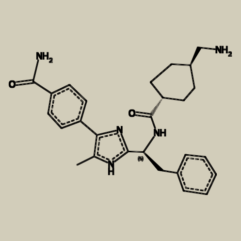 Cc1[nH]c([C@H](Cc2ccccc2)NC(=O)[C@H]2CC[C@H](CN)CC2)nc1-c1ccc(C(N)=O)cc1